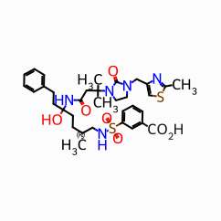 Cc1nc(CN2CCN(C(C)(C)CC(=O)NC(O)(CCc3ccccc3)CC[C@@H](C)CNS(=O)(=O)c3cccc(C(=O)O)c3)C2=O)cs1